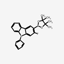 CC1(C)OB(c2cc3c4ccccc4n(-c4ccccc4)c3cc2F)OC1(C)C